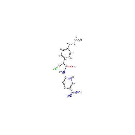 Cl.N=C(N)c1ccc(N2CCC(c3ccc(CCC(=O)O)cc3)C2=O)nc1